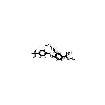 CC(C)(C)c1ccc(COc2ccc(C(=N)N)cc2C#N)cc1.Cl